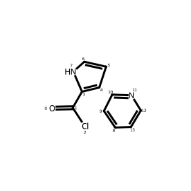 O=C(Cl)c1ccc[nH]1.c1ccncc1